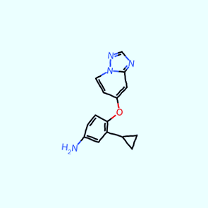 Nc1ccc(Oc2ccn3ncnc3c2)c(C2CC2)c1